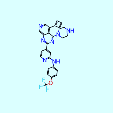 FC(F)(F)Oc1ccc(Nc2cc(-c3nc(N4CCNCC4)c4c(C5=CC=C5)cncc4n3)ccn2)cc1